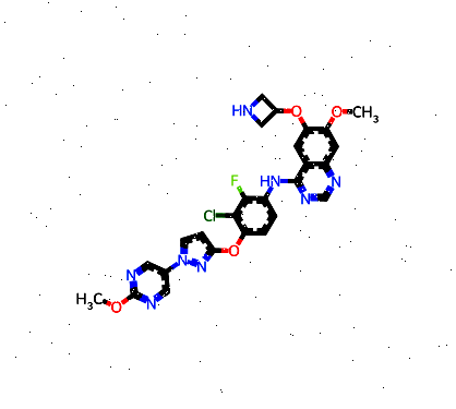 COc1ncc(-n2ccc(Oc3ccc(Nc4ncnc5cc(OC)c(OC6CNC6)cc45)c(F)c3Cl)n2)cn1